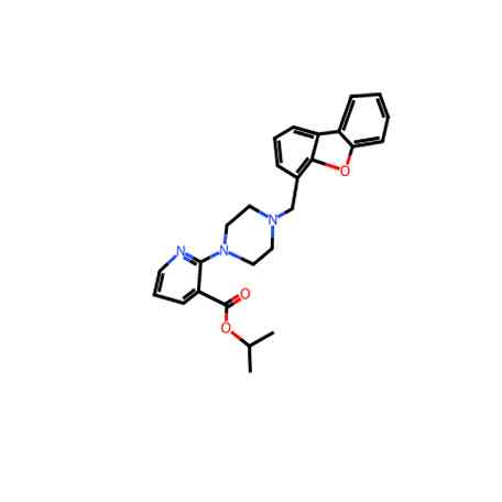 CC(C)OC(=O)c1cccnc1N1CCN(Cc2cccc3c2oc2ccccc23)CC1